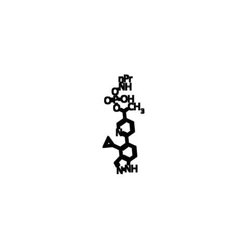 CCCNOP(=O)(O)OC(C)c1ccc(-c2ccc3[nH]ncc3c2C2CC2)nc1